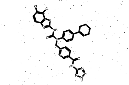 O=C(Nc1nn[nH]n1)c1ccc(CN(C(=O)Nc2nc3ccc(Cl)c(Cl)c3s2)c2ccc(C3=CCCCC3)cc2)cc1